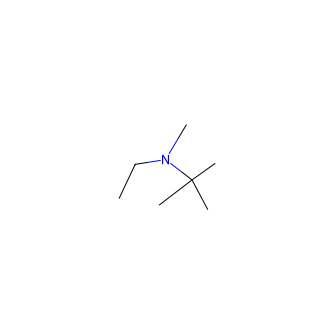 CCN(C)C(C)(C)C